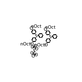 CCCCCCCCOc1ccc([S+](c2ccccc2)c2ccc(OCCCCCCCC)cc2)cc1.CCCCCCCCOc1ccc([S+](c2ccccc2)c2ccc(OCCCCCCCC)cc2)cc1.O=S(=O)([O-])CCS(=O)(=O)[O-]